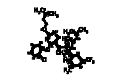 CN(C)CCOc1ncc(N(C)C(=O)C(C)(CC(O)CN(C)C)c2cc(C(F)(F)F)cc(C(F)(F)F)c2)c(Oc2ccccc2Cl)n1